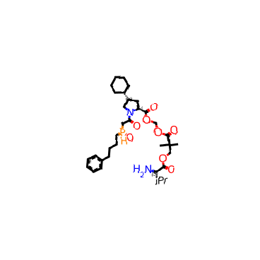 CC(C)[C@H](N)C(=O)OCC(C)(C)C(=O)OCOC(=O)[C@@H]1C[C@@H](C2CCCCC2)CN1C(=O)C[PH](=O)CCCCc1ccccc1